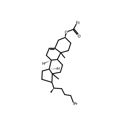 CCC(=O)O[C@H]1CCC2(C)C(=CC[C@H]3C2CCC2(C)C([C@H](C)CCCC(C)C)CC[C@@H]32)C1